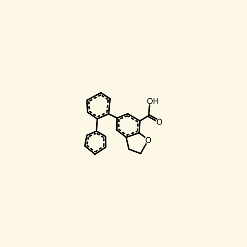 O=C(O)c1cc(-c2ccccc2-c2ccccc2)cc2c1OCC2